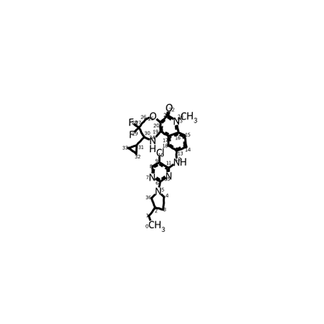 CCC1CCN(c2ncc(Cl)c(Nc3ccc4c(c3)c3c(c(=O)n4C)OCC(F)(F)C(C4CC4)N3)n2)C1